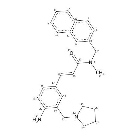 CN(Cc1ccc2ccccc2c1)C(=O)/C=C/c1cnc(N)c(CN2CCCC2)c1